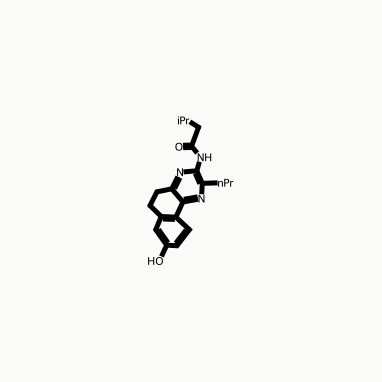 CCCc1nc2c(nc1NC(=O)CC(C)C)CCc1cc(O)ccc1-2